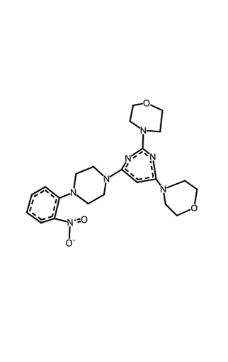 O=[N+]([O-])c1ccccc1N1CCN(c2cc(N3CCOCC3)nc(N3CCOCC3)n2)CC1